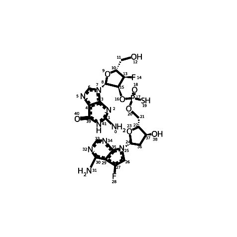 Nc1nc2c(ncn2[C@@H]2O[C@H](CO)[C@@H](F)[C@H]2OP(=O)(S)OC[C@H]2O[C@@H](n3cc(F)c4c(N)ncnc43)C[C@@H]2O)c(=O)[nH]1